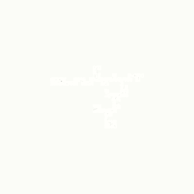 [CH2]C(COC(=O)CCCN)OC(=O)CC(C)O